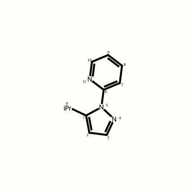 CC(C)c1ccnn1-c1ccccn1